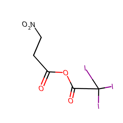 O=C(CC[N+](=O)[O-])OC(=O)C(I)(I)I